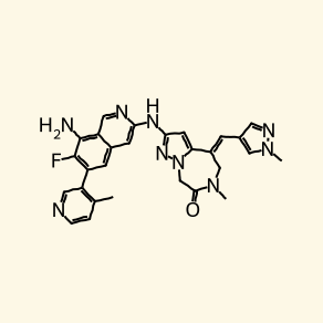 Cc1ccncc1-c1cc2cc(Nc3cc4n(n3)CC(=O)N(C)C/C4=C\c3cnn(C)c3)ncc2c(N)c1F